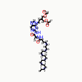 CC/C=C\C/C=C\C/C=C\C/C=C\C/C=C\C/C=C\CCC(=O)N[C@@H](C)C(=O)Nc1ncc2ncn(CCC(COC(C)=O)COC(C)=O)c2n1